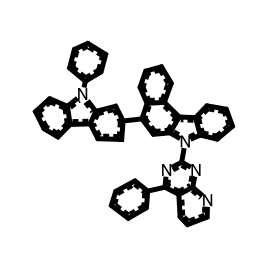 c1ccc(-c2nc(-n3c4ccccc4c4c5ccccc5c(-c5ccc6c7ccccc7n(-c7ccccc7)c6c5)cc43)nc3ncccc23)cc1